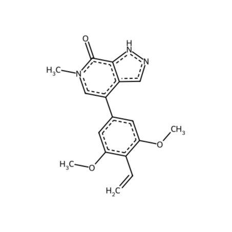 C=Cc1c(OC)cc(-c2cn(C)c(=O)c3[nH]ncc23)cc1OC